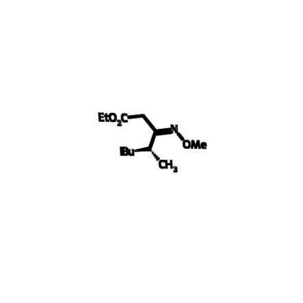 CCOC(=O)C/C(=N/OC)[C@H](C)[C@H](C)CC